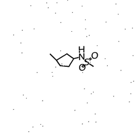 CC1CCC(NS(C)(=O)=O)C1